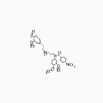 CCOc1ccc(CCN(C)CCCN(C(=O)c2ccc([N+](=O)[O-])cc2)c2ccc(OCC)c(OCC)c2)cc1OCC